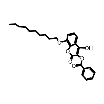 CCCCCCCCCCOc1cccc2c(O)c(OC(=O)c3ccccc3)c(=O)oc12